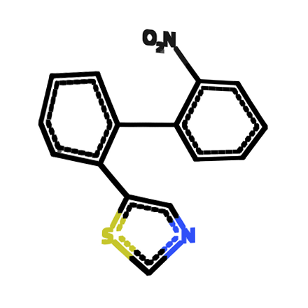 O=[N+]([O-])c1ccccc1-c1ccccc1-c1cncs1